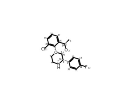 C[C@@H](O[C@H]1OCCN[C@H]1c1ccc(F)cc1)c1cccc(Cl)c1